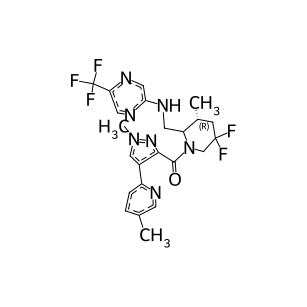 Cc1ccc(-c2cn(C)nc2C(=O)N2CC(F)(F)C[C@@H](C)C2CNc2cnc(C(F)(F)F)cn2)nc1